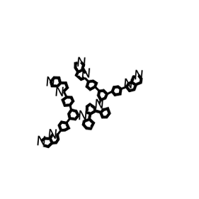 c1ccc2c(c1)c1c3c4ccccc4n(-c4cc(-c5ccc(-c6ccc7ccncc7n6)cc5)cc(-c5ccc(-c6ccc7ccncc7n6)cc5)c4)c3ccc1n2-c1cc(-c2ccc(-c3ccc4ccncc4n3)cc2)cc(-c2ccc(-c3ccc4ccncc4n3)cc2)c1